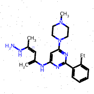 C=C(/C=C(/C)NN)Nc1cc(N2CCN(C)CC2)nc(-c2ccccc2CC)n1